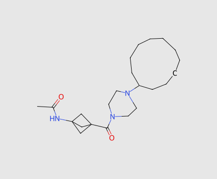 CC(=O)NC12CC(C(=O)N3CCN(C4CCCCCCCCCC4)CC3)(C1)C2